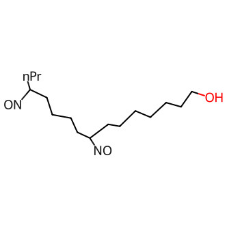 CCCC(CCCCC(CCCCCCCO)N=O)N=O